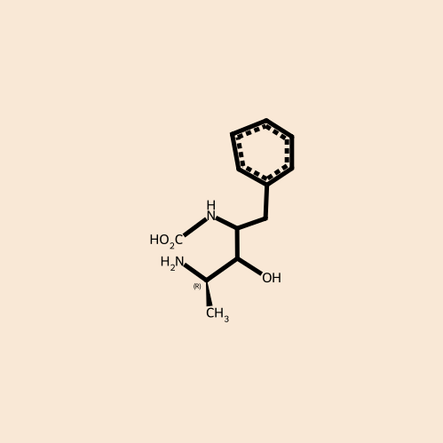 C[C@@H](N)C(O)C(Cc1ccccc1)NC(=O)O